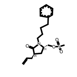 C=CC[C@@H]1C[C@@H](COS(C)(=O)=O)N(CCCCc2ccccc2)C1=O